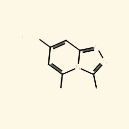 CCc1nnc2cc(C(=O)O)cc(Cl)n12